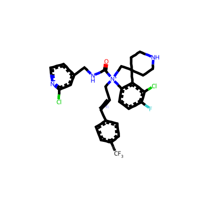 O=C(NCc1ccnc(Cl)c1)[N+]1(C/C=C/c2ccc(C(F)(F)F)cc2)CC2(CCNCC2)c2c1ccc(F)c2Cl